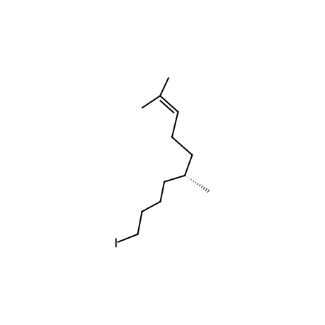 CC(C)=CCC[C@H](C)CCCCI